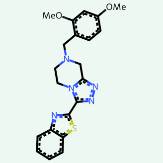 COc1ccc(CN2CCn3c(nnc3-c3nc4ccccc4s3)C2)c(OC)c1